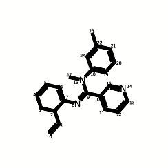 C=CC1CC=CC=C1/N=C(/c1cccnc1)N(C)c1cccc(C)c1